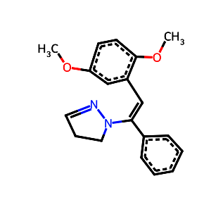 COc1ccc(OC)c(C=C(c2ccccc2)N2CCC=N2)c1